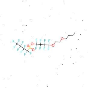 CCCCOCCOC(F)(F)C(F)(F)C(F)(F)C(F)(F)OS(=O)(=O)C(F)(F)C(F)(F)C(F)(F)C(F)(F)F